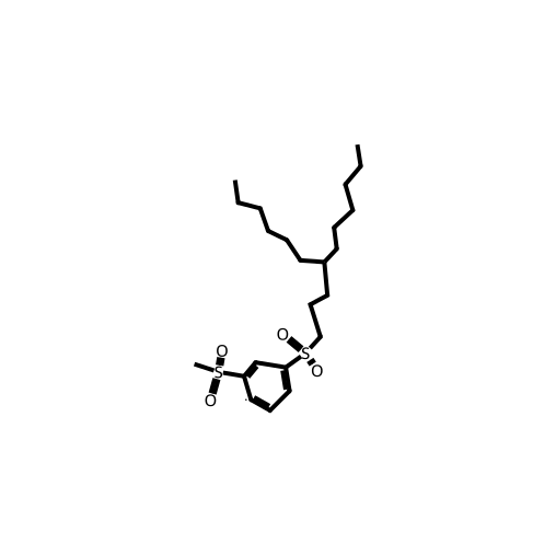 CCCCCCC(CCCCCC)CCCS(=O)(=O)c1cc[c]c(S(C)(=O)=O)c1